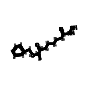 CN(OCc1ccccc1)C(=O)CCCCCC(=O)NO